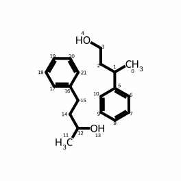 CC(CCO)c1ccccc1.CC(O)CCc1ccccc1